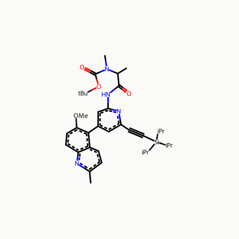 COc1ccc2nc(C)ccc2c1-c1cc(C#C[Si](C(C)C)(C(C)C)C(C)C)nc(NC(=O)C(C)N(C)C(=O)OC(C)(C)C)c1